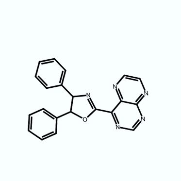 c1ccc(C2N=C(c3ncnc4nccnc34)OC2c2ccccc2)cc1